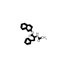 CC(=O)NC(Cc1ccccc1)C(=O)Oc1ccc2ccccc2c1